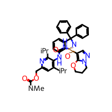 CNC(=O)OCc1cc(C(C)C)c(NC(=O)NS(=O)(=NC(c2ccccc2)(c2ccccc2)c2ccccc2)c2cnn3c2OCCC3)c(C(C)C)n1